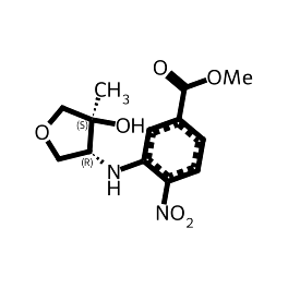 COC(=O)c1ccc([N+](=O)[O-])c(N[C@@H]2COC[C@@]2(C)O)c1